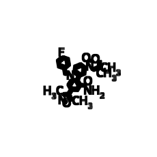 Cc1noc(C)c1-c1cc(C(N)=O)c2c3cc(N4CC(C)(C)COC4=O)ccc3n(Cc3ccc(F)cc3)c2c1